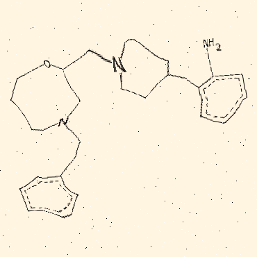 Nc1ccccc1C1CCN(CC2CN(Cc3ccccc3)CCCO2)CC1